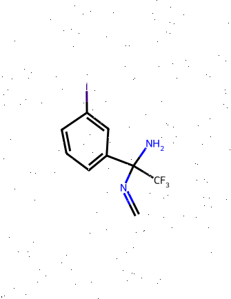 C=NC(N)(c1cccc(I)c1)C(F)(F)F